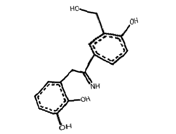 N=C(Cc1cccc(O)c1O)c1ccc(O)c(CO)c1